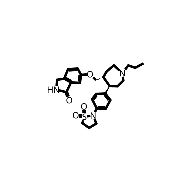 CCCN1CC[C@@H](COc2ccc3c(c2)C(=O)NC3)[C@H](c2ccc(N3CCCS3(=O)=O)cc2)CC1